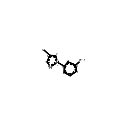 Cc1cnn(-c2cccc(F)c2)c1